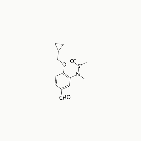 CN(c1cc(C=O)ccc1OCC1CC1)[S+](C)[O-]